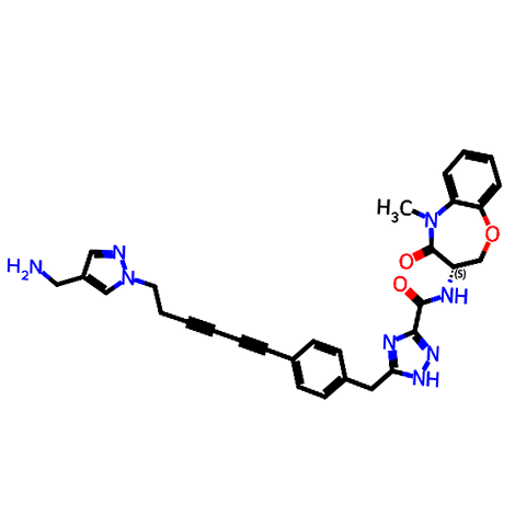 CN1C(=O)[C@@H](NC(=O)c2n[nH]c(Cc3ccc(C#CC#CCCn4cc(CN)cn4)cc3)n2)COc2ccccc21